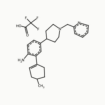 CC1CC=C(c2cc(C3CCN(Cc4ccccn4)CC3)ccc2N)CC1.O=C(O)C(F)(F)F